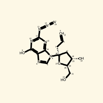 C=CC[C@]1(n2cnc3c(O)nc(N=[N+]=[N-])nc32)C[C@H](O)[C@@H](CO)O1